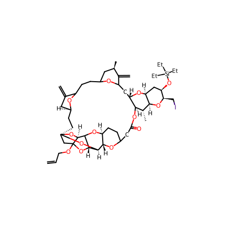 C=CCOC12C[C@]34CC[C@H]5CC(=C)C(CCC6C[C@@H](C)C(=C)C(C[C@@H]7O[C@H]8C[C@@H](O[Si](CC)(CC)CC)[C@@H](CI)O[C@H]8[C@H](C)[C@H]7OC(=O)CC7CC[C@@H]8OC([C@@H](O1)[C@@H](O3)[C@H]8O7)[C@@H]2O4)O6)O5